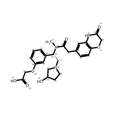 CN(C(=O)Cc1ccc2c(c1)NC(=O)CO2)[C@H](CN1CCC(O)C1)c1cccc(OCC(=O)O)c1